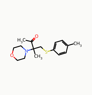 CC(=O)C(C)(CSc1ccc(C)cc1)N1CCOCC1